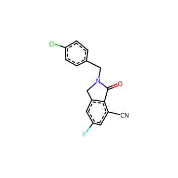 N#Cc1cc(F)cc2c1C(=O)N(Cc1ccc(Cl)cc1)C2